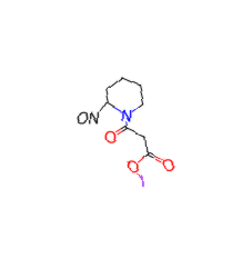 O=NC1CCCCN1C(=O)CC(=O)OI